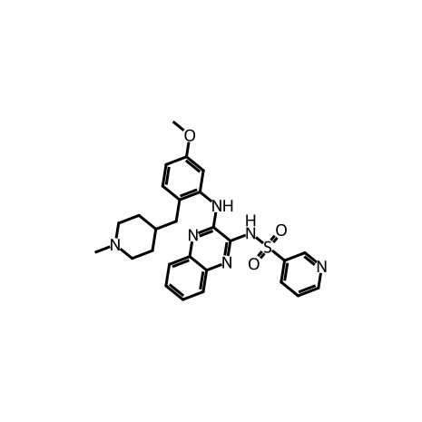 COc1ccc(CC2CCN(C)CC2)c(Nc2nc3ccccc3nc2NS(=O)(=O)c2cccnc2)c1